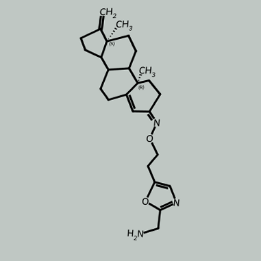 C=C1CCC2C3CCC4=CC(=NOCCc5cnc(CN)o5)CC[C@]4(C)C3CC[C@]12C